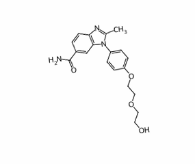 Cc1nc2ccc(C(N)=O)cc2n1-c1ccc(OCCOCCO)cc1